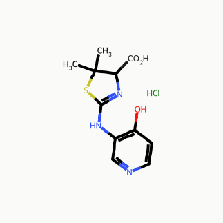 CC1(C)SC(Nc2cnccc2O)=NC1C(=O)O.Cl